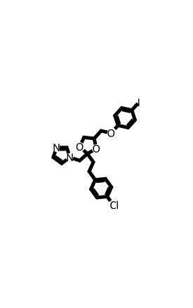 Clc1ccc(CCC2(Cn3ccnc3)OCC(COc3ccc(I)cc3)O2)cc1